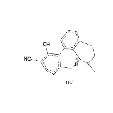 CN1CCc2cccc3c2[C@@H]1Cc1ccc(O)c(O)c1-3.Cl